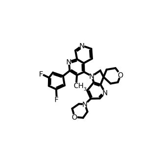 Cc1c(-c2cc(F)cc(F)c2)nc2cnccc2c1N1CC2(CCOCC2)c2ncc(N3CCOCC3)cc21